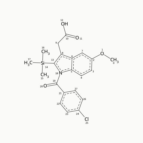 COc1ccc2c(c1)c(CC(=O)O)c([Si](C)(C)C)n2C(=O)c1ccc(Cl)cc1